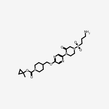 CC1(OC(=O)N2CCC(COc3cnc(N4CCN(S(=O)(=O)CCCN)CC4=O)cn3)CC2)CC1